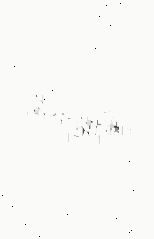 CC(C)Oc1cc2c(cc1Nc1ncc(I)c(Nc3ccccc3S(=O)(=O)C(C)C)n1)C(=O)N(C1CCN(C(=O)[C@@H]3CCCN3)CC1)C2